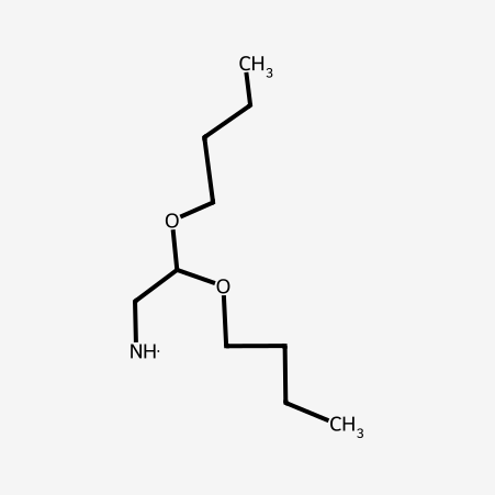 CCCCOC(C[NH])OCCCC